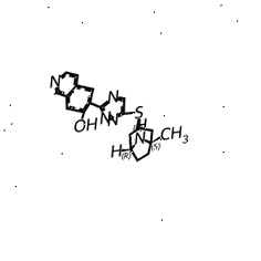 C[C@]12CC[C@H](C[C@@H](Sc3cnc(-c4cc5ccncc5cc4O)nn3)C1)N2